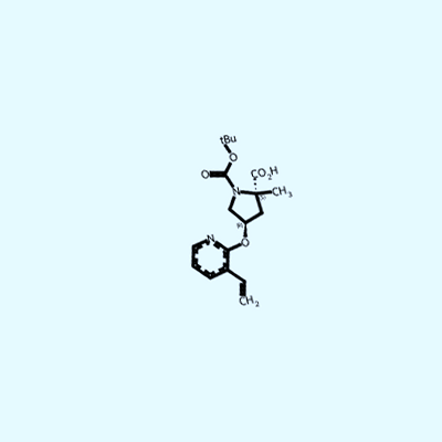 C=Cc1cccnc1O[C@H]1CN(C(=O)OC(C)(C)C)[C@](C)(C(=O)O)C1